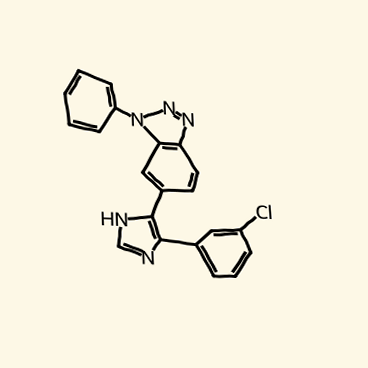 Clc1cccc(-c2nc[nH]c2-c2ccc3nnn(-c4ccccc4)c3c2)c1